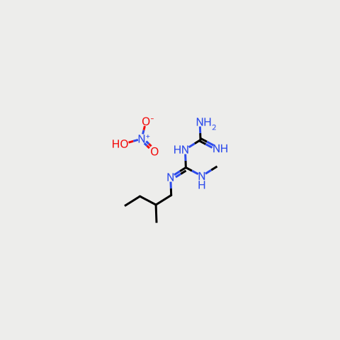 CCC(C)C/N=C(\NC)NC(=N)N.O=[N+]([O-])O